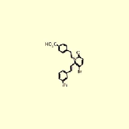 CC(C)c1cccc(/C=C/c2c(Br)ccc(=O)n2CCc2ccc(C(=O)O)cc2)c1